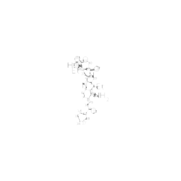 CCc1c2c(nc3ccc(C=CC(=O)c4ccccc4)c(N)c13)-c1cc3c(c(=O)n1C2)COC(=O)[C@]3(O)CC